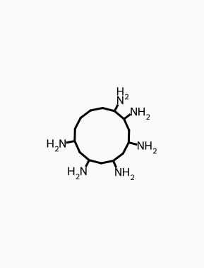 NC1CCCCC(N)C(N)CC(N)CC(N)CC(N)C1